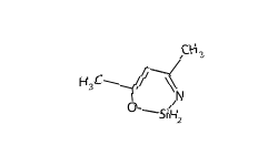 CC1=CC(C)=N[SiH2]O1